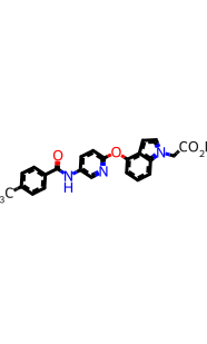 O=C(O)Cn1ccc2c(Oc3ccc(NC(=O)c4ccc(C(F)(F)F)cc4)cn3)cccc21